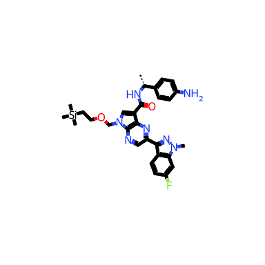 C[C@@H](NC(=O)c1cn(COCC[Si](C)(C)C)c2ncc(-c3nn(C)c4cc(F)ccc34)nc12)c1ccc(N)cc1